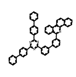 c1ccc(-c2ccc(-c3nc(-c4ccc(-c5ccccc5)cc4)nc(-c4cccc(-c5cccc(-c6nc7c8ccccc8ccc7c7ccccc67)c5)c4)n3)cc2)cc1